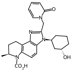 C[C@H]1CCc2c(ccc3c2nc(Cn2ccccc2=O)n3[C@H]2CCC[C@H](O)C2)N1C(=O)O